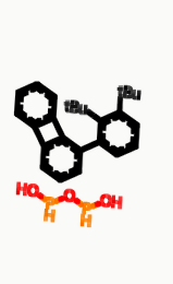 CC(C)(C)c1cccc(-c2cccc3c2-c2ccccc2-3)c1C(C)(C)C.OPOPO